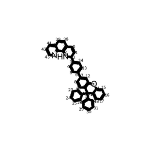 C1=CC(c2ccc(-c3ccc4c(c3)Oc3ccccc3C4(c3ccccc3)c3ccccc3)cc2)Nc2c1ccc1cccnc21